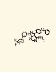 Nc1ncnc2c1c(-c1ccc(Oc3ccccc3)cc1)nn2C1CCCN(C(=O)CC(F)(F)F)C1